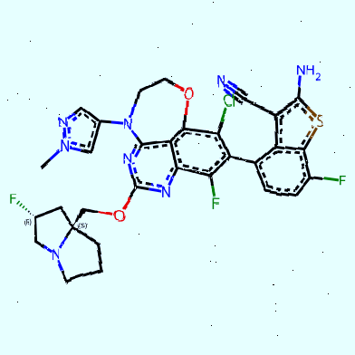 Cn1cc(N2CCOc3c(Cl)c(-c4ccc(F)c5sc(N)c(C#N)c45)c(F)c4nc(OC[C@@]56CCCN5C[C@H](F)C6)nc2c34)cn1